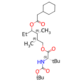 CCC(OC(=O)CC1CCCCC1)[C@H](C)[C@@H](C)COC(=O)[C@@H](NC(=O)OC(C)(C)C)C(C)(C)C